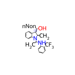 C=C(Nc1ccccc1C(F)(F)F)n1c(=C)/c(=C(\O)CCCCCCCCC)c2ccccc21